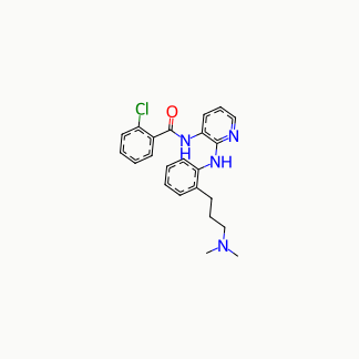 CN(C)CCCc1ccccc1Nc1ncccc1NC(=O)c1ccccc1Cl